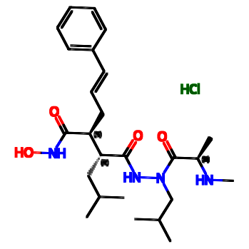 CN[C@H](C)C(=O)N(CC(C)C)NC(=O)[C@H](CC(C)C)[C@H](CC=Cc1ccccc1)C(=O)NO.Cl